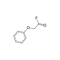 O=C(F)COc1ccccc1